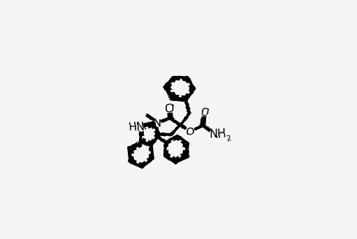 CN(Cc1ccccc1)C(=O)C(Cc1ccccc1)(Cc1c[nH]c2ccccc12)OC(N)=O